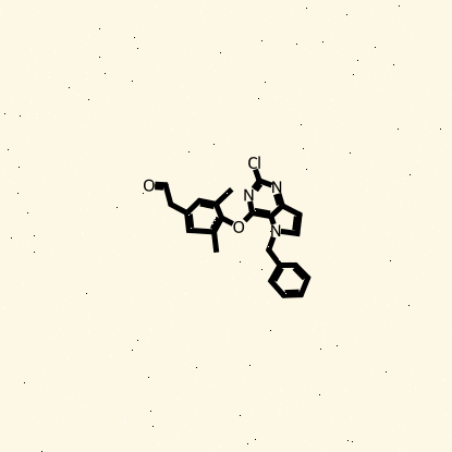 Cc1cc(CC=O)cc(C)c1Oc1nc(Cl)nc2ccn(Cc3ccccc3)c12